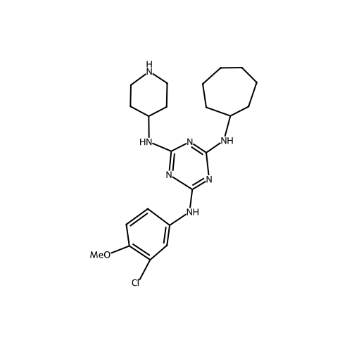 COc1ccc(Nc2nc(NC3CCCCCC3)nc(NC3CCNCC3)n2)cc1Cl